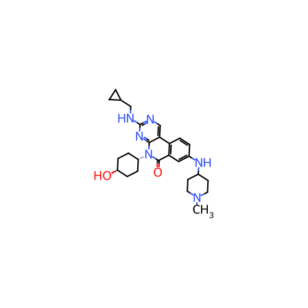 CN1CCC(Nc2ccc3c(c2)c(=O)n([C@H]2CC[C@H](O)CC2)c2nc(NCC4CC4)ncc32)CC1